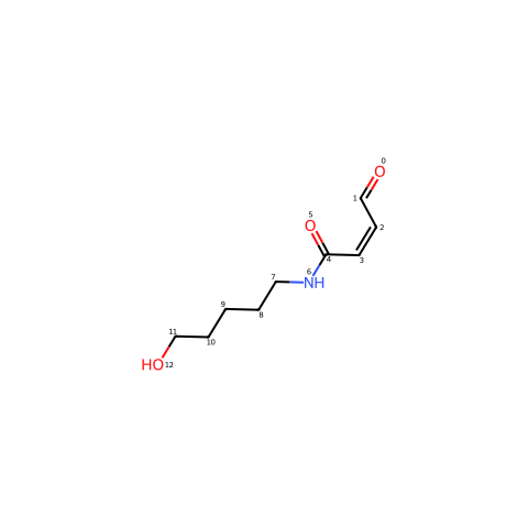 O=C/C=C\C(=O)NCCCCCO